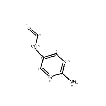 Nc1ncc(NC=O)cn1